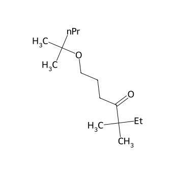 CCCC(C)(C)OCCCC(=O)C(C)(C)CC